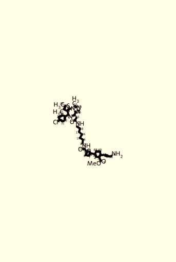 COC(=O)c1cc(-c2ccc(C(=O)NCCCCCCCNC(=O)C[C@@H]3N=C(c4ccc(Cl)cc4)c4c(sc(C)c4C)-n4c(C)nnc43)o2)ccc1C#CCN